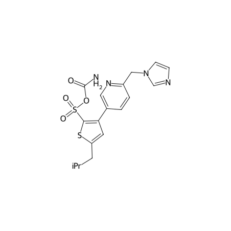 CC(C)Cc1cc(-c2ccc(Cn3ccnc3)nc2)c(S(=O)(=O)OC(N)=O)s1